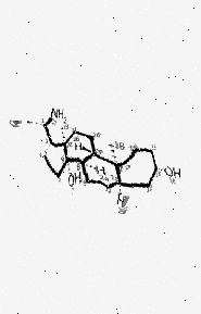 C[C@H](N)[C@H]1CC[C@]2(O)[C@@H]3CC[C@@H]4C[C@@H](O)CC[C@]4(C)[C@H]3CC[C@]12C